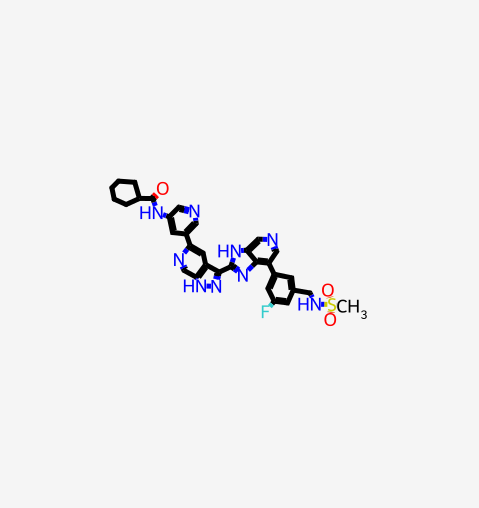 CS(=O)(=O)NCc1cc(F)cc(-c2cncc3[nH]c(-c4n[nH]c5cnc(-c6cncc(NC(=O)C7CCCCC7)c6)cc45)nc23)c1